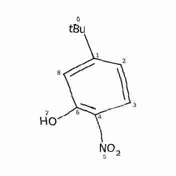 CC(C)(C)c1ccc([N+](=O)[O-])c(O)c1